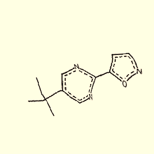 CC(C)(C)c1cnc(-c2ccno2)nc1